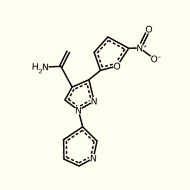 C=C(N)c1cn(-c2cccnc2)nc1-c1ccc([N+](=O)[O-])o1